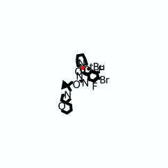 CC(C)(C)OC(=O)N1C2CCC1CN(c1nc(OCC3(CN4CCC5(CCCCO5)C4)CC3)nc3c(F)c(Br)c(F)cc13)C2